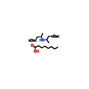 CCCCCCCC(=O)O.CCCCCCCCCCCC(C)NC(C)CCCCCCCCCCC